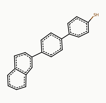 Sc1ccc(-c2ccc(-c3ccc4ccccc4c3)cc2)cc1